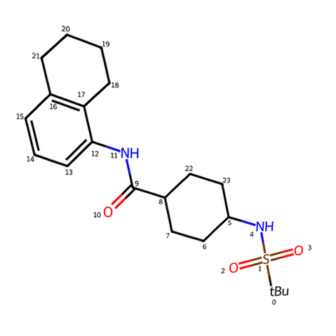 CC(C)(C)S(=O)(=O)NC1CCC(C(=O)Nc2cccc3c2CCCC3)CC1